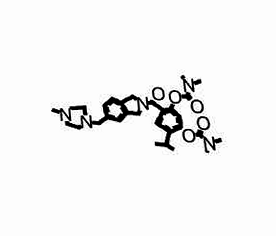 CC(C)c1cc(C(=O)N2Cc3ccc(CN4CCN(C)CC4)cc3C2)c(OC(=O)N(C)C)cc1OC(=O)N(C)C